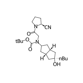 CCCC[C@@]1(O)C[C@H]2CC(N(CC(=O)N3CCC[C@H]3C#N)C(=O)OC(C)(C)C)C[C@H]2C1